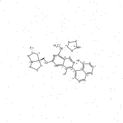 CN(c1nc(OC[C@@]23CCCN2C[C@H](F)C3)nc2c(F)c(-c3cccc4cccc(F)c34)ncc12)[C@@H]1CCNC1